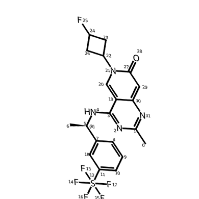 Cc1nc(N[C@H](C)c2cccc(S(F)(F)(F)(F)F)c2)c2cn(C3CC(F)C3)c(=O)cc2n1